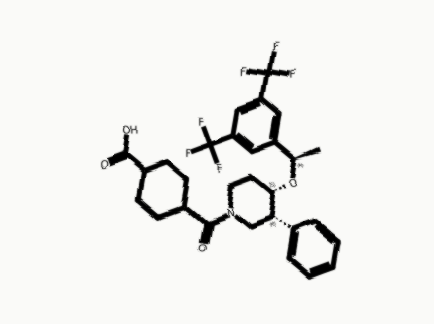 C[C@@H](O[C@H]1CCN(C(=O)C2CCC(C(=O)O)CC2)C[C@H]1c1ccccc1)c1cc(C(F)(F)F)cc(C(F)(F)F)c1